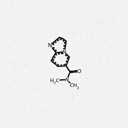 CN(C)C(=O)c1ccc2nccn2c1